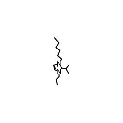 CCCCCCN1C=CN(CCC)C1C(C)C